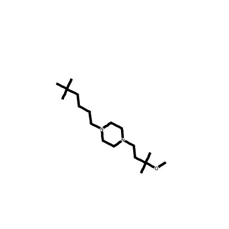 COC(C)(C)CCN1CCN(CCCCC(C)(C)C)CC1